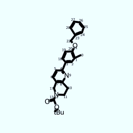 Cc1cc(-c2ccc3c(n2)CCN(C(=O)OC(C)(C)C)C3)ccc1OCc1ccccc1